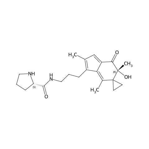 CC1=C(CCCNC(=O)[C@@H]2CCCN2)C2=C(C)C3(CC3)[C@@](C)(O)C(=O)C2=C1